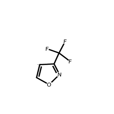 FC(F)(F)c1[c]con1